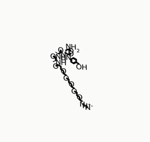 C[C@H](NC(=O)CCOCCOCCOCCOCCOCCN=[N+]=[N-])C(=O)N[C@@H](C)C(=O)N[C@@H](CC(N)=O)C(=O)Nc1ccc(CO)cc1